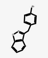 CC(C)c1ccc(Cc2noc3ccc[c]c23)cc1